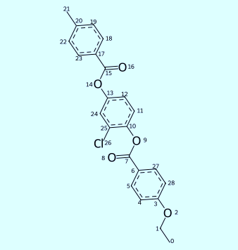 CCOc1ccc(C(=O)Oc2ccc(OC(=O)c3ccc(C)cc3)cc2Cl)cc1